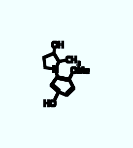 COc1ccc(O)cc1N1CCC(O)C1C